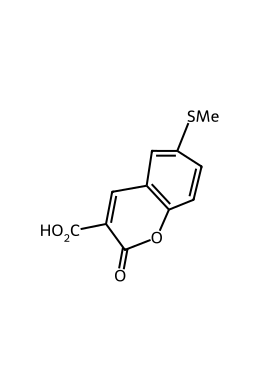 CSc1ccc2oc(=O)c(C(=O)O)cc2c1